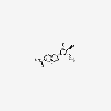 COc1cc([C@H]2CN3CCN(C(=O)O)C[C@@H]3CO2)cc(F)c1C#N